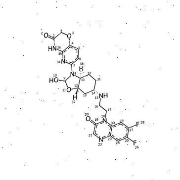 O=C1COc2ccc(N3C(O)O[C@H]4C[C@@H](NCCn5c(=O)cnc6cc(F)c(F)cc65)CC[C@@H]43)nc2N1